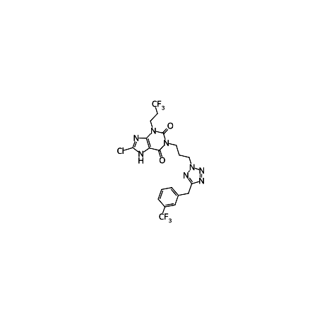 O=c1c2[nH]c(Cl)nc2n(CCC(F)(F)F)c(=O)n1CCCn1nnc(Cc2cccc(C(F)(F)F)c2)n1